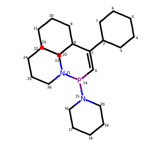 C(=C(C1CCCCC1)C1CCCCC1)P(N1CCCCC1)N1CCCCC1